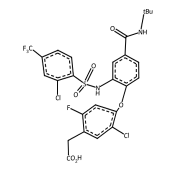 CC(C)(C)NC(=O)c1ccc(Oc2cc(F)c(CC(=O)O)cc2Cl)c(NS(=O)(=O)c2ccc(C(F)(F)F)cc2Cl)c1